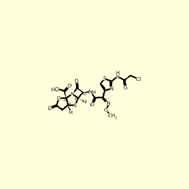 CO/N=C(\C(=O)N[C@@H]1C(=O)N2[C@@H]1S[C@@H]1CC(=O)O[C@@]12C(=O)O)c1csc(NC(=O)CCl)n1